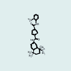 CC1(C)CCC(C)(C)c2cc(NC(=O)c3ccc(C(=O)Nc4ccccc4N)cc3)ccc21